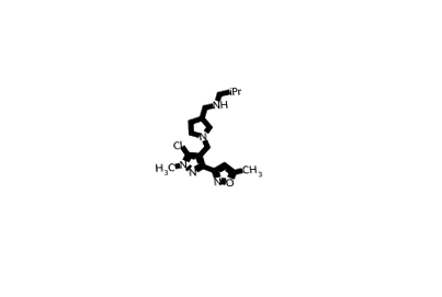 Cc1cc(-c2nn(C)c(Cl)c2CN2CCC(CNCC(C)C)C2)no1